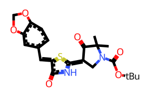 CC(C)(C)OC(=O)N1C/C(=c2\[nH]c(=O)/c(=C/c3ccc4c(c3)OCO4)s2)C(=O)C1(C)C